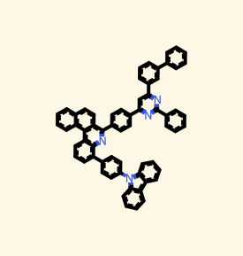 c1ccc(-c2cccc(-c3cc(-c4ccc(-c5nc6c(-c7ccc(-n8c9ccccc9c9ccccc98)cc7)cccc6c6c5ccc5ccccc56)cc4)nc(-c4ccccc4)n3)c2)cc1